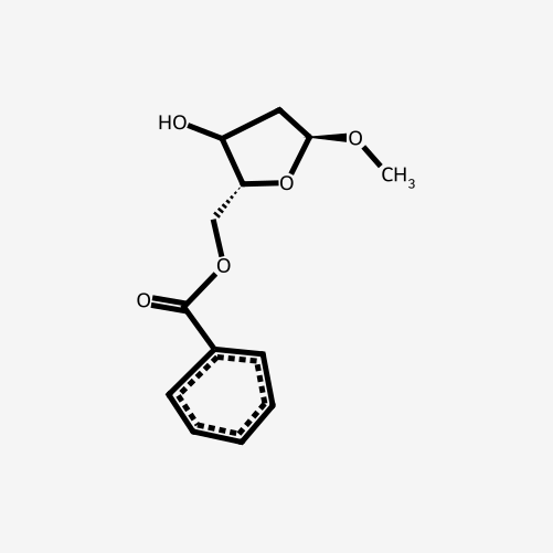 CO[C@@H]1CC(O)[C@@H](COC(=O)c2ccccc2)O1